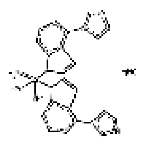 CC[CH2][Zr](=[SiH2])([CH2]CC)([CH]1C=Cc2c1cccc2-n1ccnc1)[CH]1C=Cc2c1cccc2-n1ccnc1.Cl.Cl